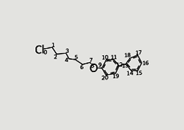 ClCCCCCCCOc1ccc(-c2ccccc2)cc1